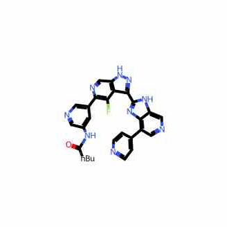 CCCCC(=O)Nc1cncc(-c2ncc3[nH]nc(-c4nc5c(-c6ccncc6)cncc5[nH]4)c3c2F)c1